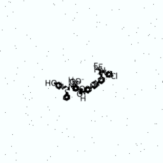 O=[N+]([O-])c1cc(S(=O)(=O)Nc2ccc(N3CCN(c4cccc(-c5cc(C(F)(F)F)nn5-c5ccc(Cl)cc5)c4)CC3)cc2)ccc1N[C@H](CCN1CCC(O)CC1)CSc1ccccc1